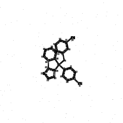 N#Cc1ccc(C2(Cc3cccc(C#N)c3)c3ccccc3-c3nccn32)cc1